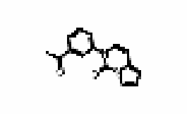 CC(=O)c1cccc(-n2ccc3cccn3c2=O)c1